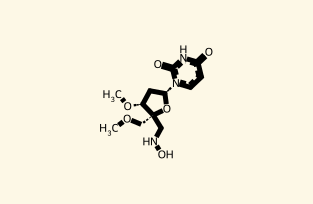 COC[C@@]1(CNO)O[C@@H](n2ccc(=O)[nH]c2=O)C[C@H]1OC